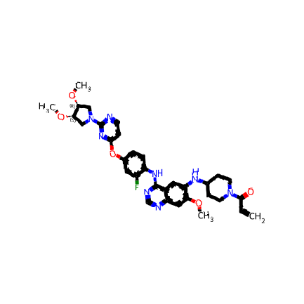 C=CC(=O)N1CCC(Nc2cc3c(Nc4ccc(Oc5ccnc(N6C[C@H](OC)[C@H](OC)C6)n5)cc4F)ncnc3cc2OC)CC1